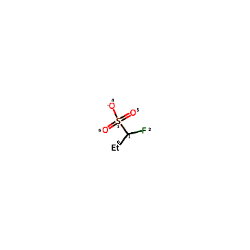 CCC(F)S([O])(=O)=O